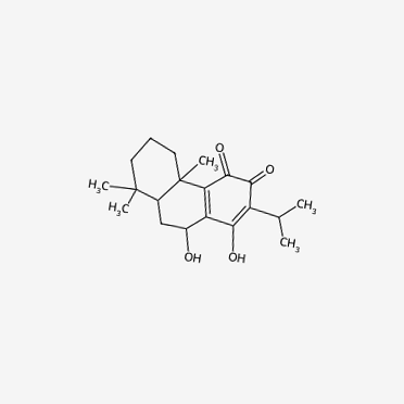 CC(C)C1=C(O)C2=C(C(=O)C1=O)C1(C)CCCC(C)(C)C1CC2O